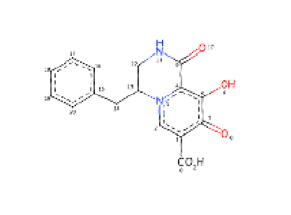 O=C(O)c1cn2c(c(O)c1=O)C(=O)NCC2Cc1ccccc1